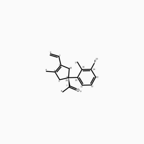 C=CC1=C(C)C[C@@](C(C)=O)(c2cccc(F)c2C)C1